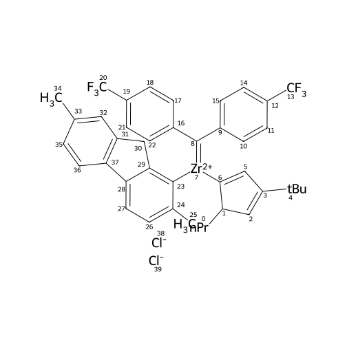 CCCC1C=C(C(C)(C)C)C=[C]1[Zr+2](=[C](c1ccc(C(F)(F)F)cc1)c1ccc(C(F)(F)F)cc1)[c]1c(C)ccc2c1Cc1cc(C)ccc1-2.[Cl-].[Cl-]